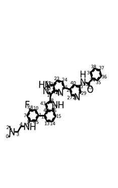 CN(C)CCNc1cc(F)cc(-c2cccc3[nH]c(-c4n[nH]c5ccc(-c6cncc(NC(=O)c7ccccc7)c6)nc45)cc23)c1